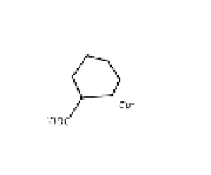 O=C([O-])C1CCCCC1.[Cu+]